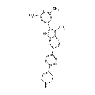 Cc1cc(-c2[nH]c3cc(-c4ccc(C5=CCNCC5)nc4)ccc3c2C)cc(C)n1